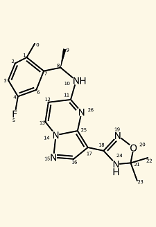 Cc1ccc(F)cc1[C@@H](C)Nc1ccn2ncc(C3=NOC(C)(C)N3)c2n1